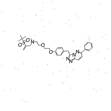 C=C(CN(C)CCOCCOc1ccc(Cc2nnc3ccc(-c4ccccc4)nn23)cc1)S(=O)(=O)C(C)(C)C